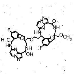 COC[C@]12CNC(=O)c3cnn4ccc(nc34)N[C@H](CCOC[C@@]34CNC(O)c5cnn6ccc(nc56)N[C@H](C)c5cc(F)cc(c5O3)C4)c3cc(F)cc(c3O1)C2